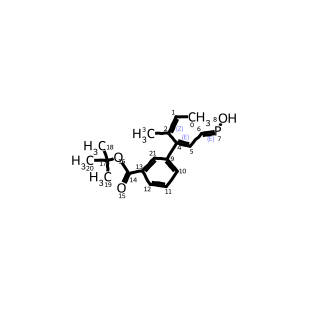 C\C=C(C)/C(=C\C=P\O)c1cccc(C(=O)OC(C)(C)C)c1